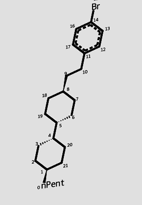 CCCCC[C@H]1CC[C@H]([C@H]2CC[C@H](CCc3ccc(Br)cc3)CC2)CC1